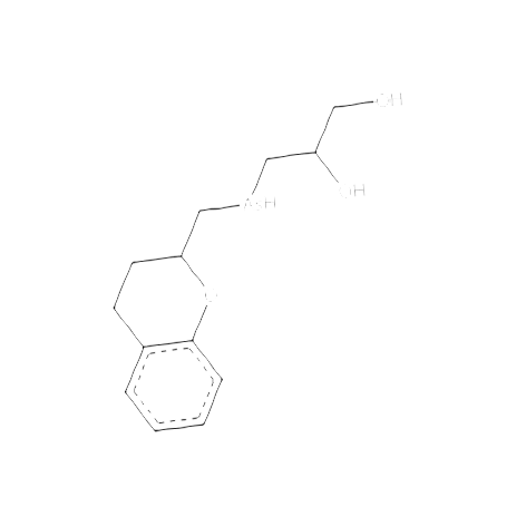 OCC(O)C[AsH]CC1CCc2ccccc2O1